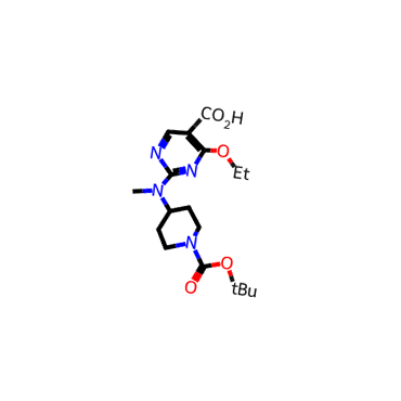 CCOc1nc(N(C)C2CCN(C(=O)OC(C)(C)C)CC2)ncc1C(=O)O